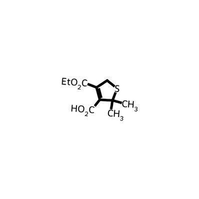 CCOC(=O)C1=C(C(=O)O)C(C)(C)SC1